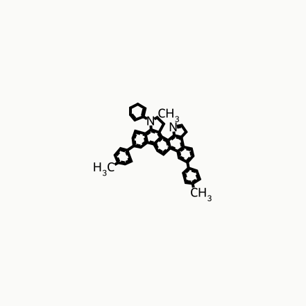 Cc1ccc(-c2ccc3c4c(c5c(ccc6c7cc(-c8ccc(C)cc8)ccc7c7c(c65)N=CC7)c3c2)CC(C)N4C2=CCCC=C2)cc1